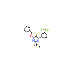 Cc1nc(OCc2ccccc2)c(S)c(-c2cccc(C(F)(F)F)c2)n1